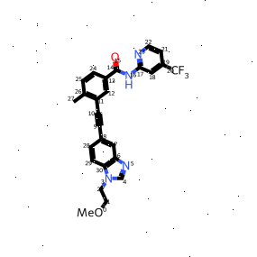 COCCn1cnc2cc(C#Cc3cc(C(=O)Nc4cc(C(F)(F)F)ccn4)ccc3C)ccc21